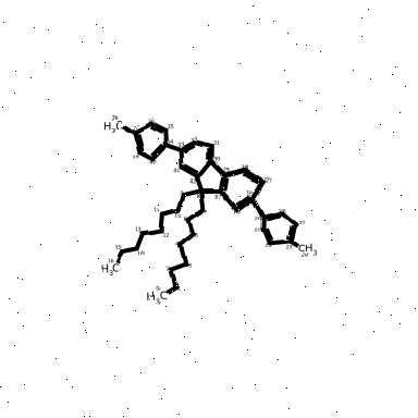 CCCCCCCCC1(CCCCCCCC)c2cc(-c3ccc(C)cc3)ccc2-c2ccc(-c3ccc(C)cc3)cc21